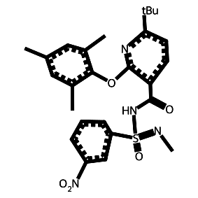 CN=S(=O)(NC(=O)c1ccc(C(C)(C)C)nc1Oc1c(C)cc(C)cc1C)c1cccc([N+](=O)[O-])c1